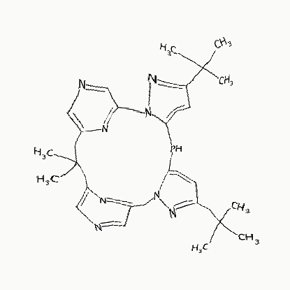 CC(C)(C)c1cc2n(n1)-c1cncc(n1)C(C)(C)c1cncc(n1)-n1nc(C(C)(C)C)cc1P2